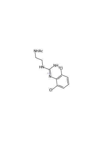 CC(=O)NCCN/C(N)=N/c1c(Cl)cccc1Cl